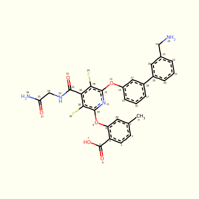 Cc1ccc(C(=O)O)c(Oc2nc(Oc3cccc(-c4cccc(CN)c4)c3)c(F)c(C(=O)NCC(N)=O)c2F)c1